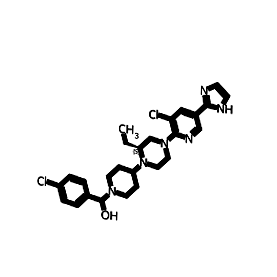 CC[C@H]1CN(c2ncc(-c3ncc[nH]3)cc2Cl)CCN1C1CCN(C(O)c2ccc(Cl)cc2)CC1